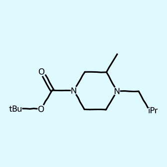 CC(C)CN1CCN(C(=O)OC(C)(C)C)CC1C